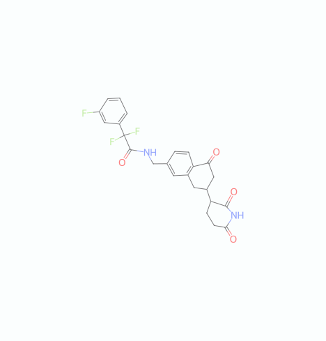 O=C1CCC(C2CC(=O)c3ccc(CNC(=O)C(F)(F)c4cccc(F)c4)cc3C2)C(=O)N1